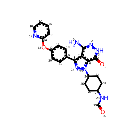 Nc1n[nH]c(=O)c2c1c(-c1ccc(Oc3ccccn3)cc1)nn2C1CCC(NC=O)CC1